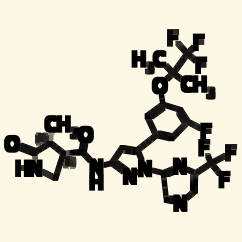 C[C@H]1C(=O)NC[C@@H]1C(=O)Nc1cc(-c2cc(F)cc(OC(C)(C)C(F)(F)F)c2)n(-c2cncc(C(F)(F)F)n2)n1